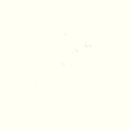 Cc1ccc2[nH]c(=O)n(C3CCN([C@H]4CC[C@@H](OCC5CC5)CC4)CC3)c2c1